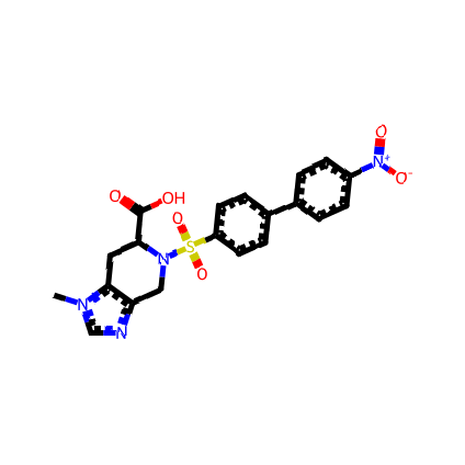 Cn1cnc2c1CC(C(=O)O)N(S(=O)(=O)c1ccc(-c3ccc([N+](=O)[O-])cc3)cc1)C2